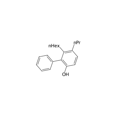 CCCCCCc1c(CCC)ccc(O)c1-c1ccccc1